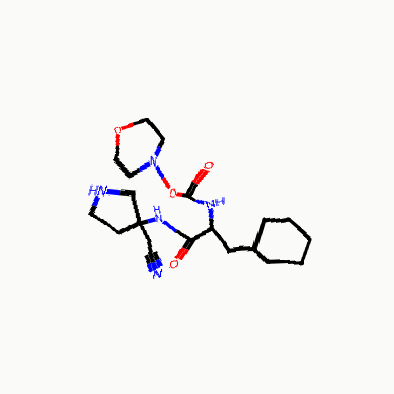 N#CC1(NC(=O)C(CC2CCCCC2)NC(=O)ON2CCOCC2)CCNC1